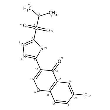 CC(C)S(=O)(=O)c1nnc(-c2coc3ccc(F)cc3c2=O)s1